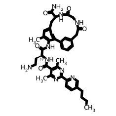 CCCCc1ccc(-c2nc(C)c(C(=O)N[C@@H](CCN)C(=O)Nc3c(C)cc4cc3-c3cccc(c3)CC(=O)NCC(=O)NC(C(N)=O)C4)c(C)n2)nc1